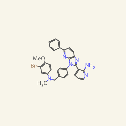 COc1ccc(N(C)Cc2ccc(-n3c(-c4cccnc4N)nc4ccc(-c5ccccc5)nc43)cc2)cc1Br